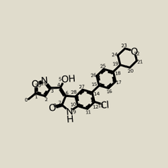 Cc1cc(C(O)=C2C(=O)Nc3cc(Cl)c(-c4ccc(C5CCOCC5)cc4)cc32)no1